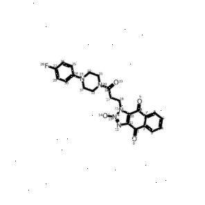 O=C1c2ccccc2C(=O)c2c1n[n+]([O-])n2CCC(=O)N1CCN(c2ccc(F)cc2)CC1